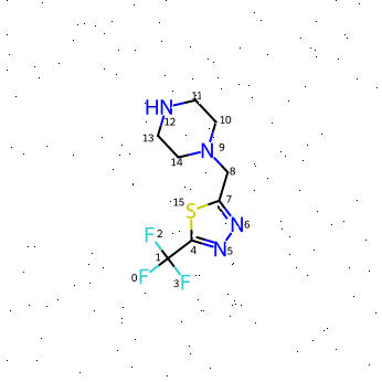 FC(F)(F)c1nnc(CN2CCNCC2)s1